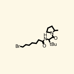 CC1CCCN1C(=O)C(NC(=O)CCCCCCBr)C(C)(C)C